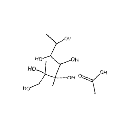 CC(=O)O.CC(O)C(O)C(O)C(C)(O)C(C)(O)CO